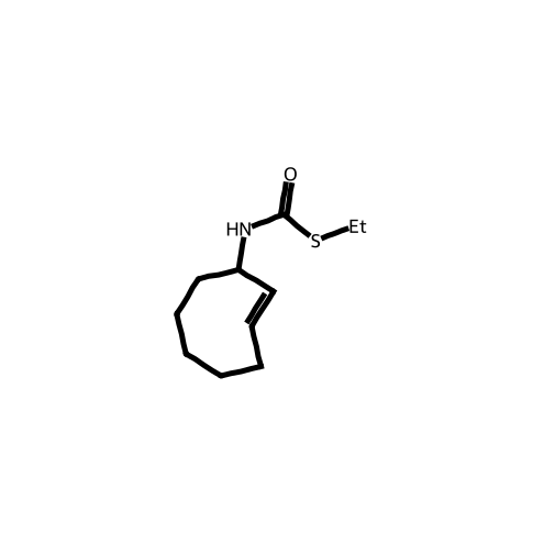 CCSC(=O)NC1/C=C/CCCCC1